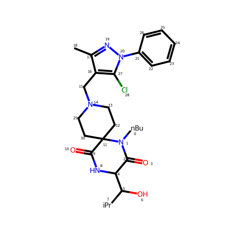 CCCCN1C(=O)C(C(O)C(C)C)NC(=O)C12CCN(Cc1c(C)nn(-c3ccccc3)c1Cl)CC2